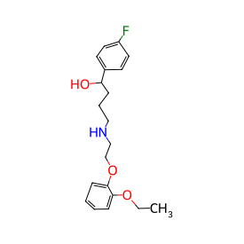 CCOc1ccccc1OCCNCCCC(O)c1ccc(F)cc1